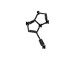 N#Cc1cnc2scnn12